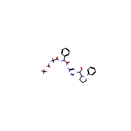 CC(C)(C)OC(=O)NC(C)(C)C(=O)NC(C(=O)Nc1cn(C(C=O)C2CCCN2c2ccccc2)cn1)c1ccccc1